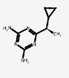 C[C@@H](c1nc(N)nc(N)n1)C1CC1